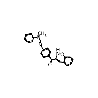 CN(C=Nc1ccc(C(=O)C2=Cc3ccccc3ON2)cc1)c1ccccc1